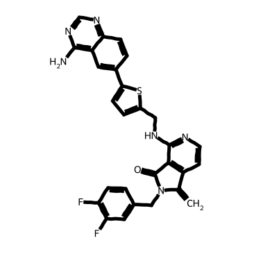 C=C1c2ccnc(NCc3ccc(-c4ccc5ncnc(N)c5c4)s3)c2C(=O)N1Cc1ccc(F)c(F)c1